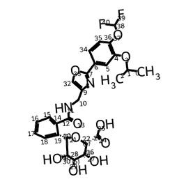 CC(C)Oc1cc(-c2nc(CNC(=O)c3ccccc3[C@@H]3O[C@H](C(=O)O)[C@@H](O)[C@@H](O)[C@H]3O)co2)ccc1OC(F)F